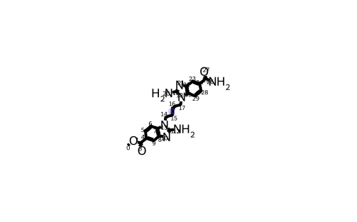 COC(=O)c1ccc2c(c1)nc(N)n2C/C=C/Cn1c(N)nc2cc(C(N)=O)ccc21